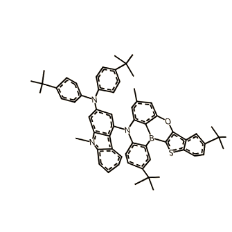 Cc1cc2c3c(c1)N(c1cc(N(c4ccc(C(C)(C)C)cc4)c4ccc(C(C)(C)C)cc4)cc4c1c1ccccc1n4C)c1ccc(C(C)(C)C)cc1B3c1sc3ccc(C(C)(C)C)cc3c1O2